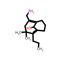 CCCC1=C2CCCC(=C(CP)CC1(C)C)C2O